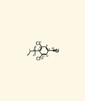 CCC(C)(C)c1c(Cl)cc(C#N)cc1Cl